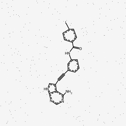 Nc1ncnc2[nH]cc(C#Cc3cccc(NC(=O)c4ccc(I)cc4)c3)c12